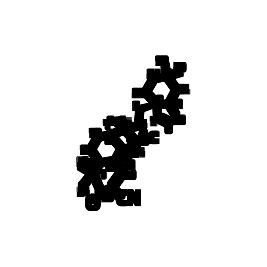 C=C[C@]1(CCC(C)(C)[C@]2(C)CCC3C(C)(C)C(=O)C(C#N)=C[C@]3(C)C2CC(C)=O)CCC(C)(C)CC1C